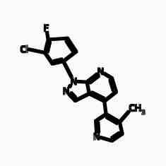 Cc1ccncc1-c1ccnc2c1cnn2-c1ccc(F)c(Cl)c1